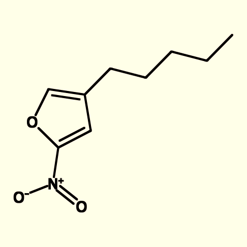 CCCCCc1coc([N+](=O)[O-])c1